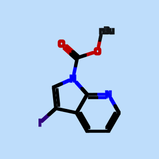 CCCCOC(=O)n1cc(I)c2cccnc21